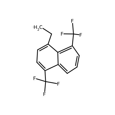 [CH2]Cc1ccc(C(F)(F)F)c2cccc(C(F)(F)F)c12